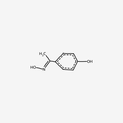 CC(=NO)c1[c]cc(O)cc1